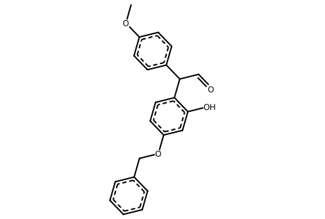 COc1ccc(C(C=O)c2ccc(OCc3ccccc3)cc2O)cc1